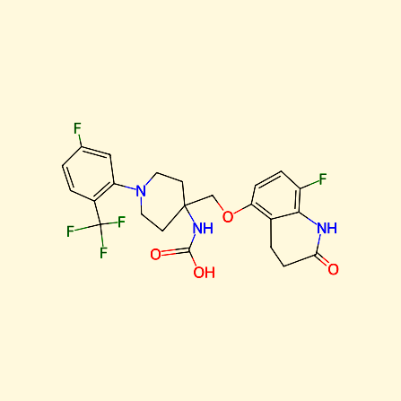 O=C(O)NC1(COc2ccc(F)c3c2CCC(=O)N3)CCN(c2cc(F)ccc2C(F)(F)F)CC1